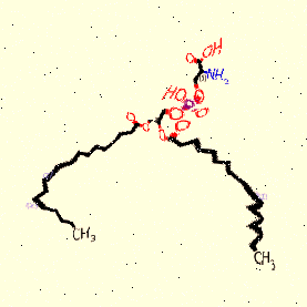 CCCC/C=C\C/C=C\CCCCCCCC(=O)OC[C@H](COP(=O)(O)OC[C@H](N)C(=O)O)OC(=O)CCCCCCC/C=C\CCCCCC